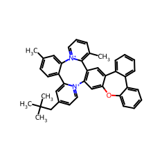 Cc1ccc2c3cc(CC(C)(C)C)cc[n+]3c3cc4oc5ccccc5c5ccccc5c4cc3c3c(C)ccc[n+]3c2c1